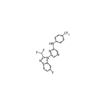 Fc1ccc2nc(C(F)F)n(-c3cncc(Nc4ccc(C(F)(F)F)cc4)n3)c2c1